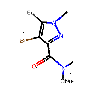 CCc1c(Br)c(C(=O)N(C)OC)nn1C